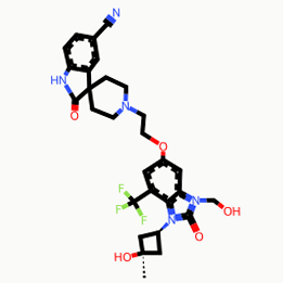 C[C@]1(O)C[C@@H](n2c(=O)n(CO)c3cc(OCCN4CCC5(CC4)C(=O)Nc4ccc(C#N)cc45)cc(C(F)(F)F)c32)C1